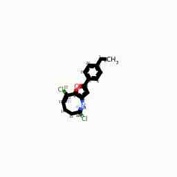 CCc1ccc(-c2cc3c(o2)/C(Cl)=C\CC/C(Cl)=N\3)cc1